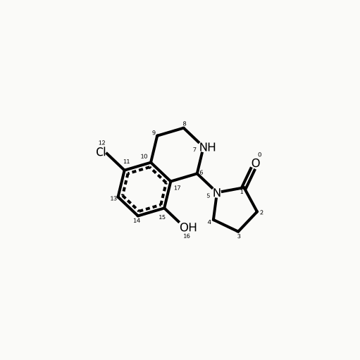 O=C1CCCN1C1NCCc2c(Cl)ccc(O)c21